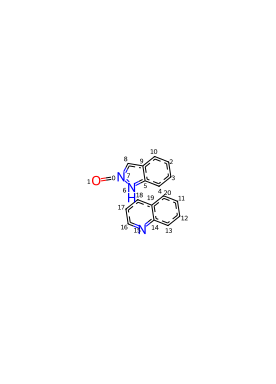 C=O.c1ccc2[nH]ncc2c1.c1ccc2ncccc2c1